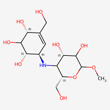 COC1O[C@H](CO)C(N[C@@H]2C=C(CO)[C@@H](O)C(O)[C@H]2O)[C@H](O)C1O